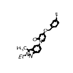 CCn1nc2ccc(-n3ccc(OCc4ccc(F)cc4)cc3=O)cc2c1C